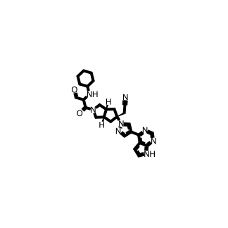 N#CC[C@]1(n2cc(-c3ncnc4[nH]ccc34)cn2)C[C@H]2CN(C(=O)C(C=O)NC3CCCCC3)C[C@H]2C1